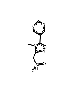 Cn1c(C[SH](=O)=O)nnc1-c1cncnc1